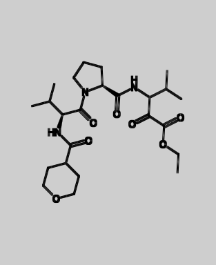 CCOC(=O)C(=O)C(NC(=O)[C@@H]1CCCN1C(=O)[C@@H](NC(=O)C1CCOCC1)C(C)C)C(C)C